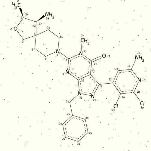 C[C@@H]1OCC2(CCN(c3nc4c(c(-c5cc(N)nc(Cl)c5Cl)nn4Cc4ccccc4)c(=O)n3C)CC2)[C@@H]1N